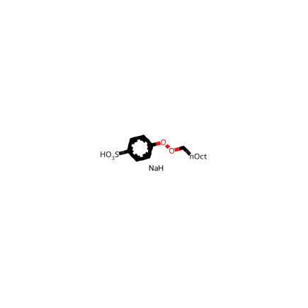 CCCCCCCCCOOc1ccc(S(=O)(=O)O)cc1.[NaH]